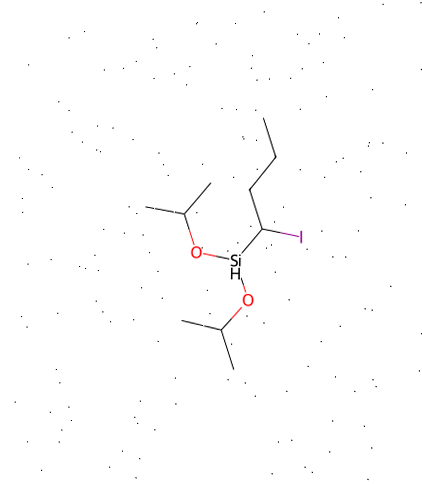 CCCC(I)[SiH](OC(C)C)OC(C)C